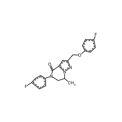 CC1CN(c2ccc(F)cc2)C(=O)c2cc(COc3ccc(F)cc3)nn21